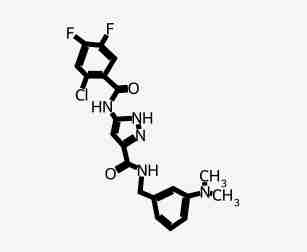 CN(C)c1cccc(CNC(=O)c2cc(NC(=O)c3cc(F)c(F)cc3Cl)[nH]n2)c1